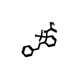 NC(=S)NC1(C(F)(F)F)C=CC=CN1CCc1ccccc1